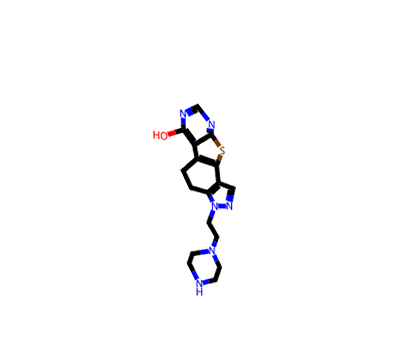 Oc1ncnc2sc3c(c12)CCc1c-3cnn1CCN1CCNCC1